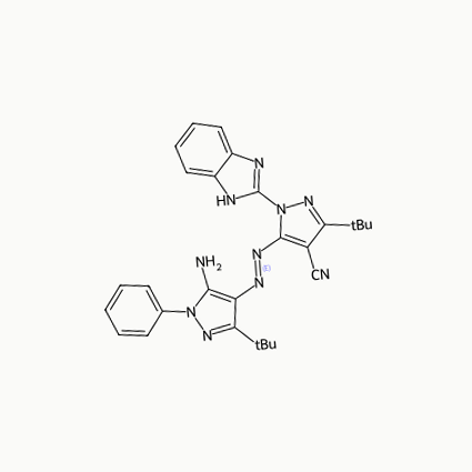 CC(C)(C)c1nn(-c2nc3ccccc3[nH]2)c(/N=N/c2c(C(C)(C)C)nn(-c3ccccc3)c2N)c1C#N